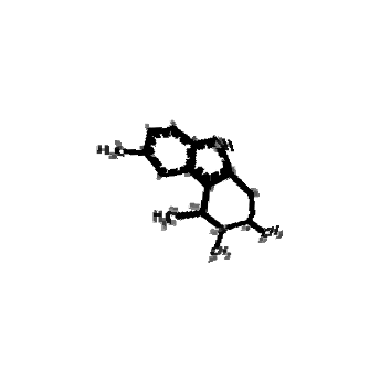 Cc1ccc2[nH]c3c(c2c1)C(C)N(C)C(C)C3